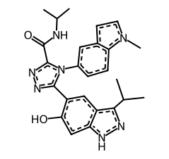 CC(C)NC(=O)c1nnc(-c2cc3c(C(C)C)n[nH]c3cc2O)n1-c1ccc2c(ccn2C)c1